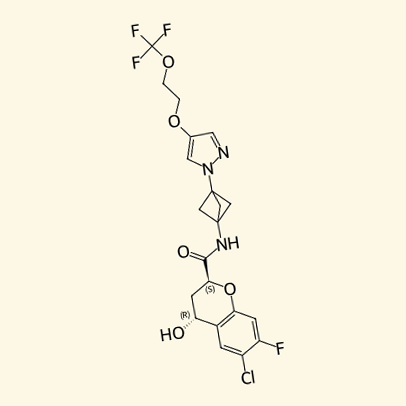 O=C(NC12CC(n3cc(OCCOC(F)(F)F)cn3)(C1)C2)[C@@H]1C[C@@H](O)c2cc(Cl)c(F)cc2O1